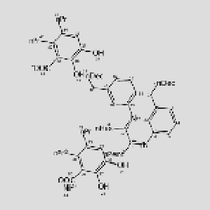 CCCCCCCCCCCc1cccc(N=C(CCCCC)C(CCCCCC)=Nc2cccc(CCCCCCCCCCC)c2)c1.CCCc1cc(O)c(O)c(C(=O)[O-])c1CCC.CCCc1cc(O)c(O)c(C(=O)[O-])c1CCC.[Ni+2]